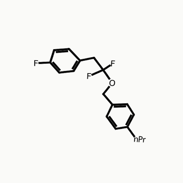 CCCc1ccc(COC(F)(F)Cc2ccc(F)cc2)cc1